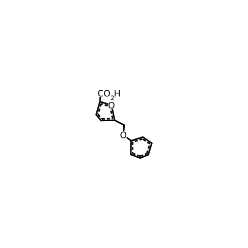 O=C(O)c1ccc(COc2ccccc2)o1